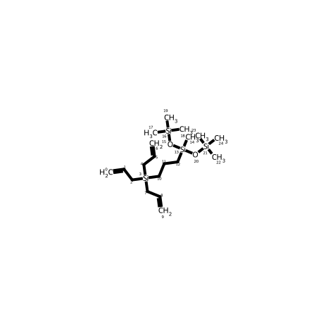 C=CC[Si](CC=C)(CC=C)CCC[Si](C)(O[Si](C)(C)C)O[Si](C)(C)C